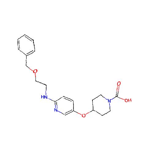 O=C(O)N1CCC(Oc2ccc(NCCOCc3ccccc3)nc2)CC1